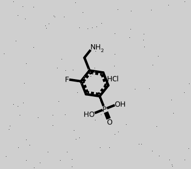 Cl.NCc1ccc(P(=O)(O)O)cc1F